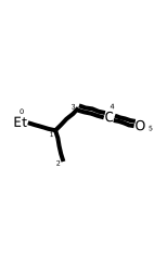 CCC(C)C=C=O